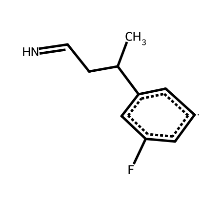 CC(CC=N)c1c[c]cc(F)c1